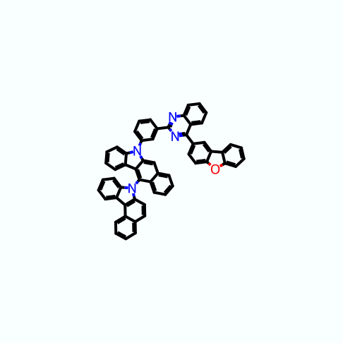 c1cc(-c2nc(-c3ccc4oc5ccccc5c4c3)c3ccccc3n2)cc(-n2c3ccccc3c3c(-n4c5ccccc5c5c6ccccc6ccc54)c4ccccc4cc32)c1